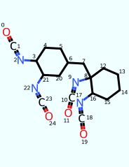 O=C=NC1CCC(CC2(N=C=O)CCCCC2N=C=O)CC1N=C=O